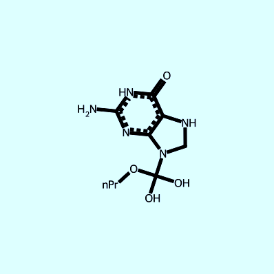 CCCOC(O)(O)N1CNc2c1nc(N)[nH]c2=O